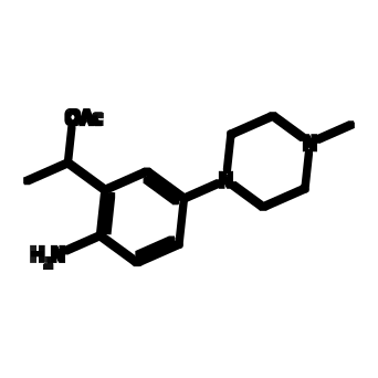 CC(=O)OC(C)c1cc(N2CCN(C)CC2)ccc1N